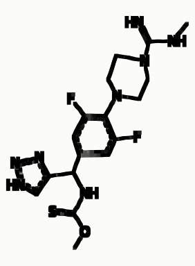 CNC(=N)N1CCN(c2c(F)cc(C(NC(=S)OC)c3c[nH]nn3)cc2F)CC1